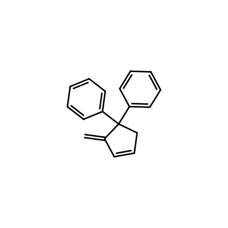 C=C1C=CCC1(c1ccccc1)c1ccccc1